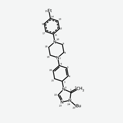 C=C1N(C2C=CC(N3CCN(c4ccc(CC)cc4)CC3)=CC2)C=NN1C(C)CC